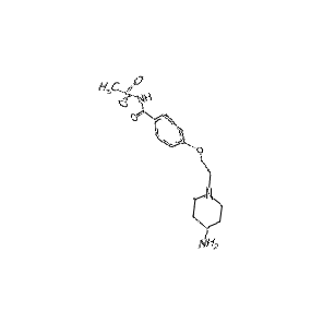 CS(=O)(=O)NC(=O)c1ccc(OCCN2CCC(N)CC2)cc1